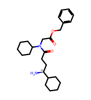 N[C@@H](CCC(=O)N(CC(=O)OCc1ccccc1)C1CCCCC1)C1CCCCC1